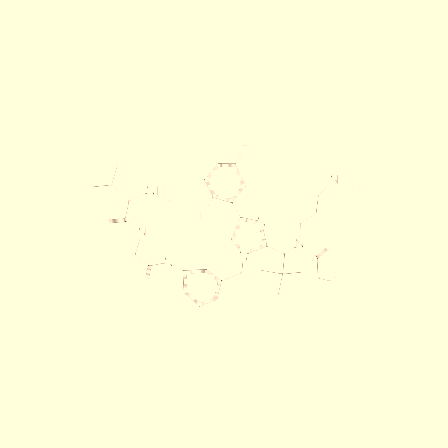 CC(C)C(N)C(=O)N[C@@H](C)C(=O)Nc1cccc(Cn2cc(-c3cc(F)ccc3F)nc2C(N(CCCN)C(=O)CO)C(C)(C)C)c1